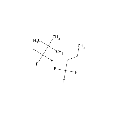 CC(C)(C)C(F)(F)F.CCCC(F)(F)F